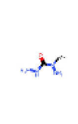 CCCN(N)C(=O)NN